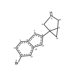 Brc1ccc2sc(C34CNCC3C4)cc2c1